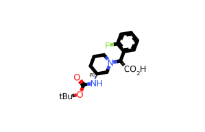 CC(C)(C)OC(=O)N[C@@H]1CCCN(C(C(=O)O)c2ccccc2F)C1